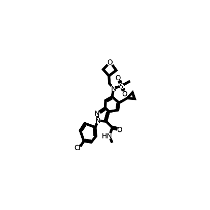 CNC(=O)c1c2cc(C3CC3)c(N(CC3COC3)S(C)(=O)=O)cc2nn1-c1ccc(Cl)cc1